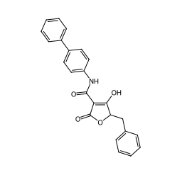 O=C(Nc1ccc(-c2ccccc2)cc1)C1=C(O)C(Cc2ccccc2)OC1=O